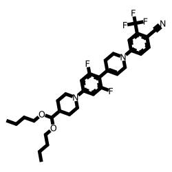 CCCCOC(OCCCC)C1CCN(c2cc(F)c(C3=CCN(c4ccc(C#N)c(C(F)(F)F)c4)CC3)c(F)c2)CC1